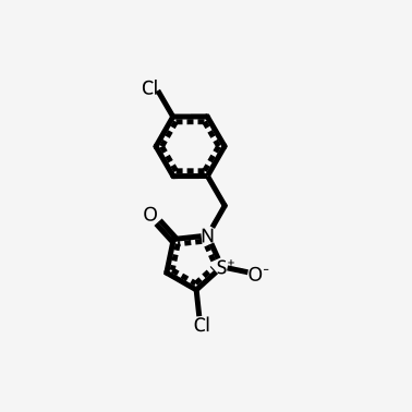 O=c1cc(Cl)[s+]([O-])n1Cc1ccc(Cl)cc1